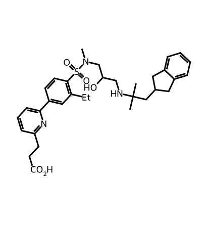 CCc1cc(-c2cccc(CCC(=O)O)n2)ccc1S(=O)(=O)N(C)CC(O)CNC(C)(C)CC1Cc2ccccc2C1